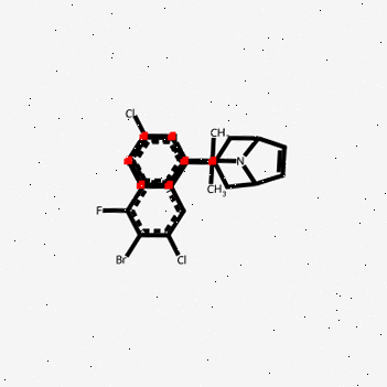 CC(C)(c1ccccc1)N1C2C=CC1CC(c1nc(Cl)nc3c(F)c(Br)c(Cl)cc13)C2